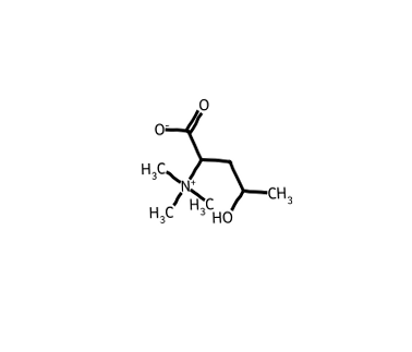 CC(O)CC(C(=O)[O-])[N+](C)(C)C